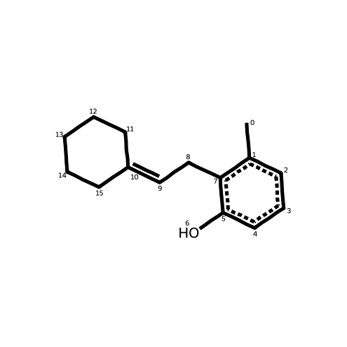 Cc1cccc(O)c1CC=C1CCCCC1